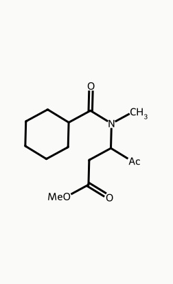 COC(=O)CC(C(C)=O)N(C)C(=O)C1CCCCC1